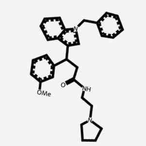 COc1cccc(C(CC(=O)NCCN2CCCC2)c2cn(Cc3ccccc3)c3ccccc23)c1